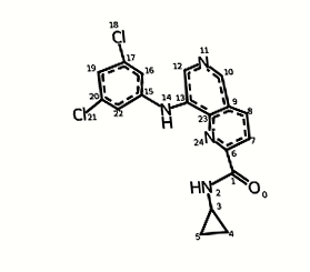 O=C(NC1CC1)c1ccc2cncc(Nc3cc(Cl)cc(Cl)c3)c2n1